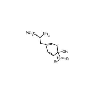 CC[PH](=O)C1(O)C=CC(C[C@H](N)C(=O)O)=CC1